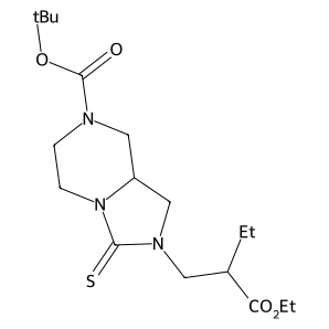 CCOC(=O)C(CC)CN1CC2CN(C(=O)OC(C)(C)C)CCN2C1=S